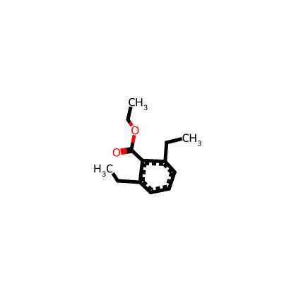 CCOC(=O)c1c(CC)cccc1CC